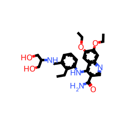 CCOc1cc2ncc(C(N)=O)c(Nc3cccc(CNC(CO)CO)c3CC)c2cc1OCC